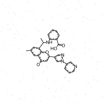 Cc1cc(C(C)Nc2ccccc2C(=O)O)c2oc(-c3cnn(-c4cccnc4)c3)cc(=O)c2c1